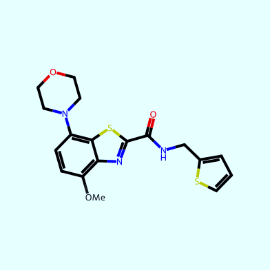 COc1ccc(N2CCOCC2)c2sc(C(=O)NCc3cccs3)nc12